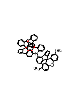 CC(C)(C)c1ccc2c(c1)C1(c3cc(C(C)(C)C)ccc3O2)c2ccccc2-c2c(N(c3ccc4c(c3)C3(c5ccccc5Oc5ccccc53)C3CC=CC=C43)c3ccccc3-c3cccc4oc5ccccc5c34)cccc21